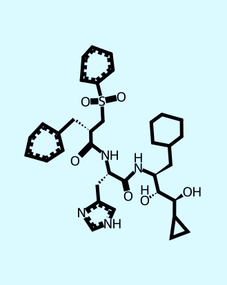 O=C(N[C@@H](Cc1c[nH]cn1)C(=O)N[C@@H](CC1CCCCC1)[C@@H](O)[C@@H](O)C1CC1)[C@H](Cc1ccccc1)CS(=O)(=O)c1ccccc1